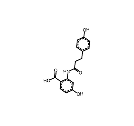 O=C(CCc1ccc(O)cc1)Nc1cc(O)ccc1C(=O)O